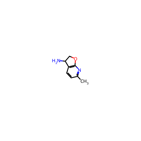 Cc1ccc2c(n1)OCC2N